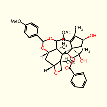 COc1ccc(C2O[C@H]3C[C@H]4OC[C@@]4(OC(C)=O)[C@H]4[C@H](OC(=O)c5ccccc5)[C@]5(C(C)(C)O)C[C@H](O)C(C)=C5[C@H](OC(C)=O)[C@H](O2)[C@]34C)cc1